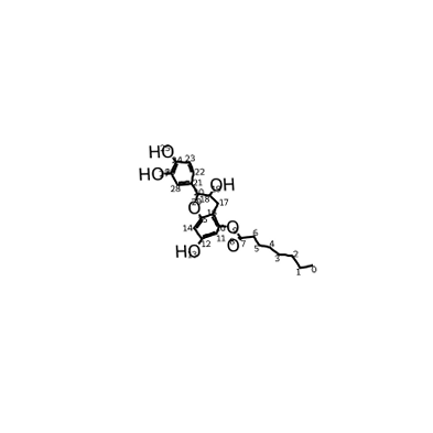 CCCCCCCC(=O)Oc1cc(O)cc2c1CC(O)C(c1ccc(O)c(O)c1)O2